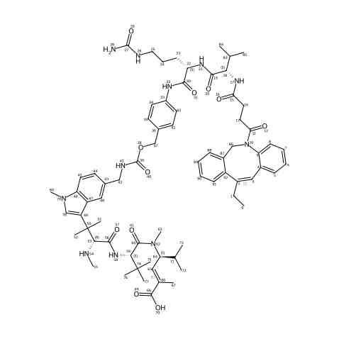 CC/C1=C/c2ccccc2N(C(=O)CCC(=O)N[C@H](C(=O)N[C@@H](CCCNC(N)=O)C(=O)Nc2ccc(COC(=O)NCc3ccc4c(c3)c(C(C)(C)[C@@H](NC)C(=O)N[C@H](C(=O)N(C)[C@H](/C=C(\C)C(=O)O)C(C)C)C(C)(C)C)cn4C)cc2)C(C)C)Cc2ccccc21